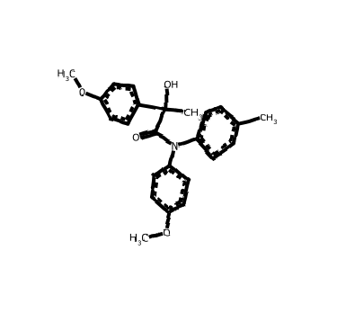 COc1ccc(N(C(=O)C(C)(O)c2ccc(OC)cc2)c2ccc(C)cc2)cc1